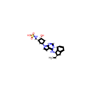 CC[C@@H]1Cc2ccccc2[C@@H]1Nc1ncnc2c1ccn2[C@H]1C[C@H](CNS(=O)(=O)O)[C@H](O)C1